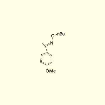 CCCCO/N=C(\C)c1ccc(OC)cc1